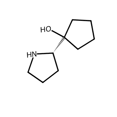 OC1([C@@H]2CCCN2)CCCC1